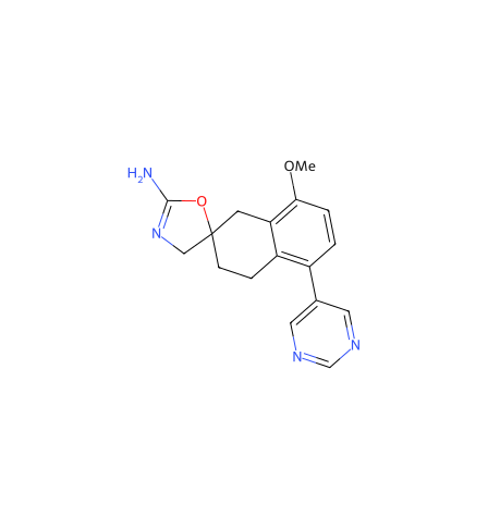 COc1ccc(-c2cncnc2)c2c1CC1(CC2)CN=C(N)O1